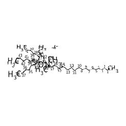 CCCCCCCCCCCCCCCCCC[N+](C)(C)C(CCC)O[Si](CCCCCC)(CCCCCC)CCCCCC.[I-]